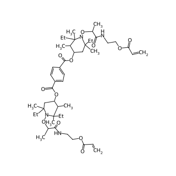 C=CC(=O)OCCNC(=O)C(C)ON1C(C)(CC)CC(OC(=O)c2ccc(C(=O)OC3CC(C)(CC)N(OC(C)C(=O)NCCOC(=O)C=C)C(C)(CC)C3C)cc2)C(C)C1(C)CC